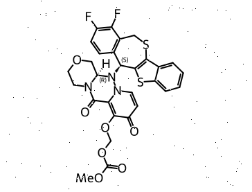 COC(=O)OCOc1c2n(ccc1=O)N([C@H]1c3ccc(F)c(F)c3CSc3c1sc1ccccc31)[C@@H]1COCCN1C2=O